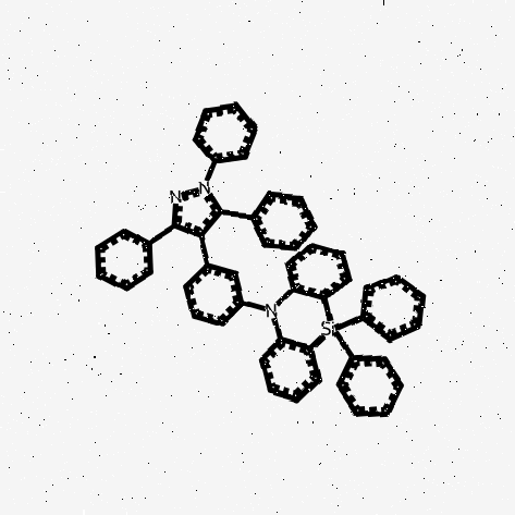 c1ccc(-c2nn(-c3ccccc3)c(-c3ccccc3)c2-c2cccc(N3c4ccccc4[Si](c4ccccc4)(c4ccccc4)c4ccccc43)c2)cc1